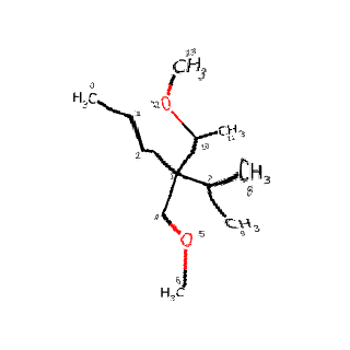 CCCC(COC)(C(C)C)C(C)OC